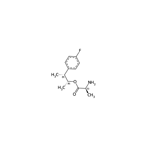 C[C@H](N)C(=O)O[C@H](C)[C@H](C)c1ccc(F)cc1